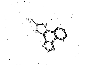 NN1Nc2c3ncnc-3c3ncccc3n2N1